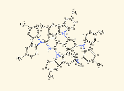 Cc1ccc2c(c1)c1cc(C)ccc1n2-c1ccc(-c2cc(C#N)c(-n3c4ccc(C)cc4c4cc(C)ccc43)cc2-n2c3ccc(C)cc3c3cc(C)ccc32)c(-n2c3ccc(C)cc3c3cc(C)ccc32)n1